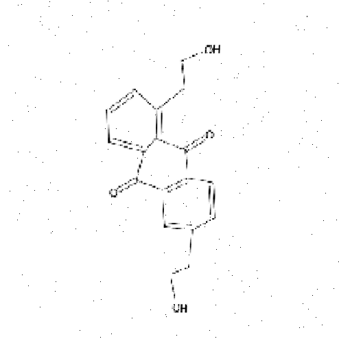 O=C1c2cc(CCO)ccc2C(=O)c2c(CCO)cccc21